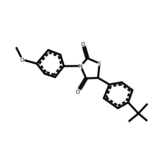 COc1ccc(N2C(=O)SC(c3ccc(C(C)(C)C)cc3)C2=O)cc1